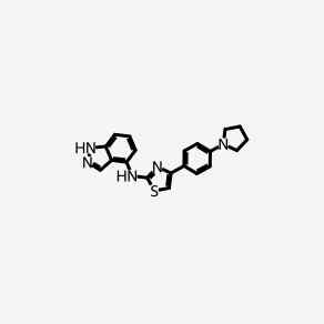 c1cc(Nc2nc(-c3ccc(N4CCCC4)cc3)cs2)c2cn[nH]c2c1